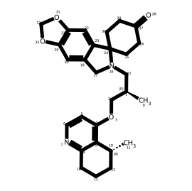 C[C@@H](COc1ccnc2c1[C@H](C)CCC2)CN1Cc2cc3c(cc2C12CCC(=O)CC2)OCO3